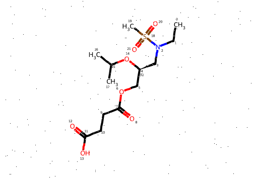 CCN(C[C@@H](COC(=O)CCC(=O)O)OC(C)C)S(C)(=O)=O